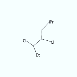 CC[C](Cl)C(Cl)CC(C)C